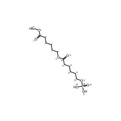 CCCCOC(=O)CCCCCOC(=O)CCCCCOP(=O)(O)O